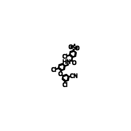 CS(=O)(=O)c1ccc(C(=O)NCc2ccc(Cl)c(Oc3cc(Cl)cc(C#N)c3)c2)c(Cl)c1